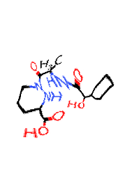 CC(NC(=O)C(O)C1CCC1)C(=O)N1CCCC(C(=O)O)N1